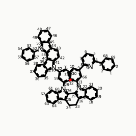 c1ccc(-c2cccc(-c3cccc(-n4c5c(c6ccccc64)CCc4c-5n(-c5cccc(-n6c7ccccc7c7c6ccc6c8ccccc8n(-c8ccccc8)c67)c5)c5ccccc45)c3)n2)cc1